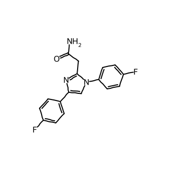 NC(=O)Cc1nc(-c2ccc(F)cc2)cn1-c1ccc(F)cc1